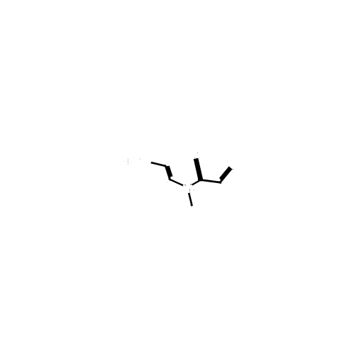 C=CC(=O)N(C)C=CC(=O)O